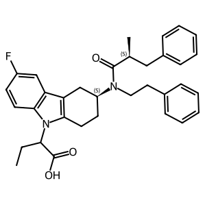 CCC(C(=O)O)n1c2c(c3cc(F)ccc31)C[C@@H](N(CCc1ccccc1)C(=O)[C@@H](C)Cc1ccccc1)CC2